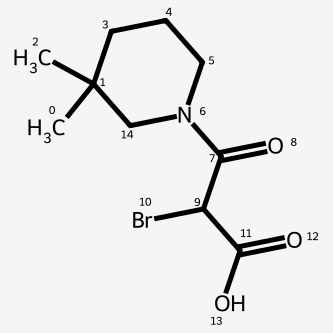 CC1(C)CCCN(C(=O)C(Br)C(=O)O)C1